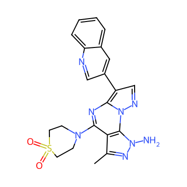 Cc1nn(N)c2c1c(N1CCS(=O)(=O)CC1)nc1c(-c3cnc4ccccc4c3)cnn12